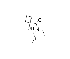 CCCN(CC)C(=O)C1(O)CCC1